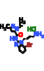 CCn1nc(C)cc1C(=O)Nc1nc2cccc(Br)c2n1C/C=C/CN.Cl